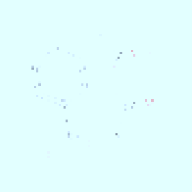 CCC(=O)OC(C)=O.O=C(O)c1ccccc1